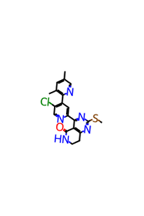 CSc1nc2c(c(-c3cc(-c4ncc(C)cc4C)c(Cl)cn3)n1)C(=O)NCC2